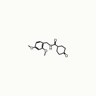 COc1ccc(CNC(=O)C2CCC(=O)CC2)c(OC)c1